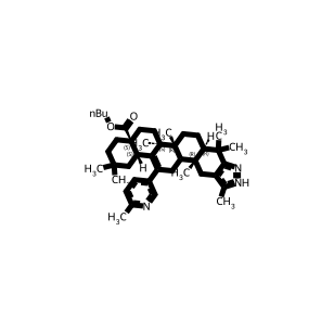 CCCCOC(=O)[C@]12CCC(C)(C)C[C@H]1C1=C(c3ccc(C)nc3)CC3[C@@]4(C)Cc5c(n[nH]c5C)C(C)(C)[C@@H]4CC[C@@]3(C)[C@]1(C)CC2